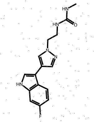 CNC(=O)NCCn1cc(-c2c[nH]c3cc(F)ccc23)cn1